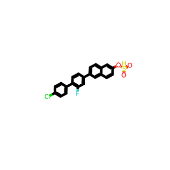 O=[SH](=O)Oc1ccc2cc(-c3ccc(-c4ccc(Cl)cc4)c(F)c3)ccc2c1